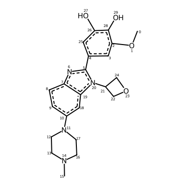 COc1cc(-c2nc3ccc(N4CCN(C)CC4)cc3n2C2COC2)cc(O)c1O